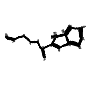 CCCCCC(=O)c1cc2ccccc2[nH]1